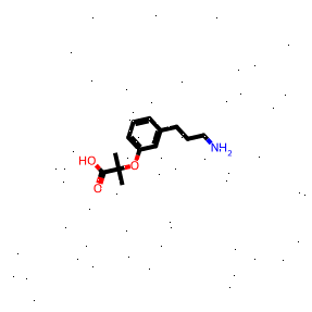 CC(C)(Oc1cccc(CCCN)c1)C(=O)O